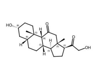 C[C@]12CC[C@@H](O)C[C@H]1CC[C@@H]1[C@H]2C(=O)C[C@]2(C)[C@@H](C(=O)CO)CC[C@@H]12